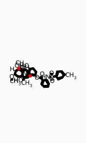 CCC1CC[C@]2(OC(=O)c3ccccc3NS(=O)(=O)c3ccc(C)cc3)CC[C@H](O)C34C2CC(N13)[C@@]1(O)C[C@H](OC)[C@H]2CC4[C@]1(O)[C@H]2OC